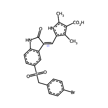 Cc1[nH]c(/C=C2\C(=O)Nc3ccc(S(=O)(=O)Cc4ccc(Br)cc4)cc32)c(C)c1C(=O)O